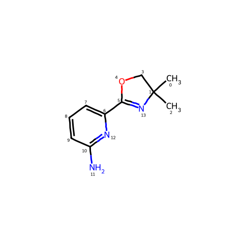 CC1(C)COC(c2cccc(N)n2)=N1